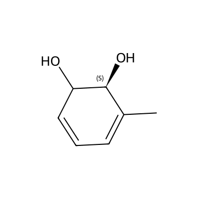 CC1=CC=CC(O)[C@H]1O